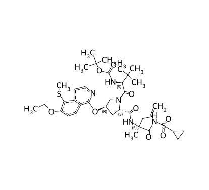 C=CC[C@](C)(NC(=O)[C@@H]1C[C@@H](Oc2nccc3c(SC)c(OCC)ccc23)CN1C(=O)[C@@H](NC(=O)OC(C)(C)C)C(C)(C)C)C(=O)NS(=O)(=O)C1CC1